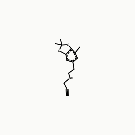 C#CCNCCc1cc(C)c2c(c1)OC(C)(C)O2